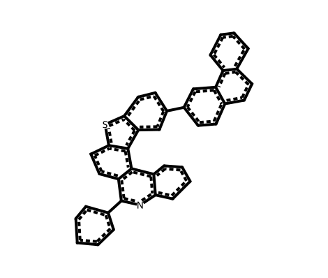 c1ccc(-c2nc3ccccc3c3c2ccc2sc4ccc(-c5ccc6ccc7ccccc7c6c5)cc4c23)cc1